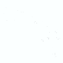 Cc1nn2c(C(C)(C)CNC(=O)COc3ccccc3)n[nH]c2c1Cl